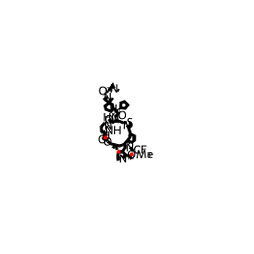 CO[C@@H](C)c1ncccc1-c1c2c3cc(ccc3n1CC(F)(F)F)-c1csc(n1)C[C@H](NC(=O)[C@H](C1CCCC1)N1CCCC3(CN(C(=O)[C@H]4CN4C)C3)C1)C(=O)N1CCC[C@H](N1)C(=O)OCC(C)(C)C2